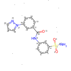 NS(=O)(=O)c1cccc(NC(=O)c2cccc(-n3cccn3)c2)c1